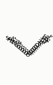 [Ag+].[Ag+].[O-2].[O-2].[O-2].[O-2].[O-2].[O-2].[O-2].[O-2].[O-2].[O-2].[O-2].[O-2].[O-2].[Sn+4].[Sn+4].[Ti+4].[Ti+4].[Zn+2].[Zn+2].[Zn+2].[Zn+2]